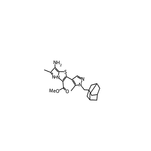 COC(=O)c1c(-c2cnn(CC34CC5CC(CC(C5)C3)C4)c2C)sc2c(N)c(C)nn12